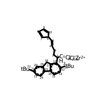 CC(CCC=CC1C=CC=C1)c1c(C(C)(C)C)ccc2c1Cc1cc(C(C)(C)C)ccc1-2.[Cl-].[Cl-].[Zr+2]